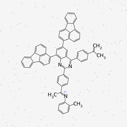 C=C(C)c1ccc(-c2nc(-c3ccc(/C(C)=N/c4ccccc4C)cc3)nc3c(-c4ccc5c6c(cccc46)-c4ccccc4-5)cc(-c4ccc5c6c(cccc46)-c4ccccc4-5)cc23)cc1